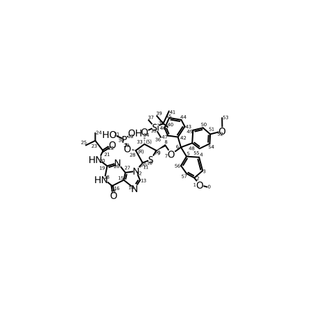 COc1ccc(C(OC[C@H]2S[C@@H](n3cnc4c(=O)[nH]c(NC(=O)C(C)C)nc43)[C@H](OP(O)O)[C@@H]2O[Si](C)(C)C(C)(C)C)(c2ccccc2)c2ccc(OC)cc2)cc1